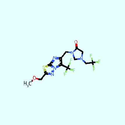 COCc1nn2c(C(F)(F)F)c(CN3CN(CC(F)(F)F)CC3=O)nc2s1